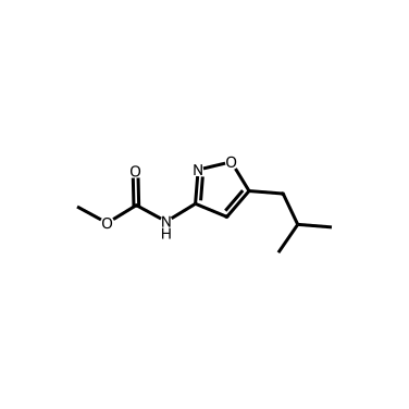 COC(=O)Nc1cc(CC(C)C)on1